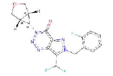 O=c1c2nn(Cc3ccccc3F)c(C(F)F)c2nnn1[C@@H]1[C@@H]2COC[C@@H]21